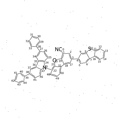 N#Cc1cc(-c2ccc3c(c2)sc2ccccc23)cc2c1oc1c(-n3c4ccc(-c5ccccc5)cc4c4cc(-c5ccccc5)ccc43)cccc12